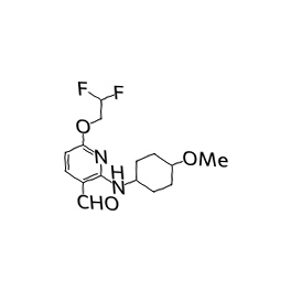 COC1CCC(Nc2nc(OCC(F)F)ccc2C=O)CC1